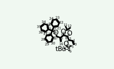 C=CC(O[Si](C)(C)C(C)(C)C)C1OC(C)(C)OC1C(=C)COC(c1ccccc1)(c1ccccc1)c1ccccc1